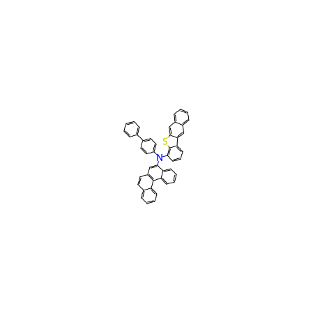 c1ccc(-c2ccc(N(c3cc4ccc5ccccc5c4c4ccccc34)c3cccc4c3sc3cc5ccccc5cc34)cc2)cc1